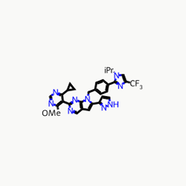 COc1ncnc(C2CC2)c1-c1ncc2cc(-c3cc[nH]n3)n(Cc3ccc(-c4nc(C(F)(F)F)cn4C(C)C)cc3)c2n1